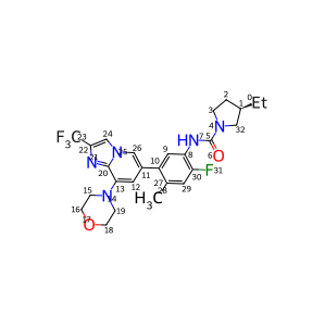 CC[C@@H]1CCN(C(=O)Nc2cc(-c3cc(N4CCOCC4)c4nc(C(F)(F)F)cn4c3)c(C)cc2F)C1